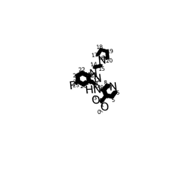 COC(=O)c1ccncc1Nc1nn(CCN2CCCC2)c2ccc(F)cc12